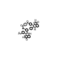 CN(C)Cc1cccc(C2c3n[nH]c(=O)c4cccc(c34)NC2c2cccc(C3CC3C(=O)N3CCN(C(=O)c4ccc(C5c6n[nH]c(=O)c7cccc(c67)NC5c5ccccc5)cc4)CC3)c2)c1